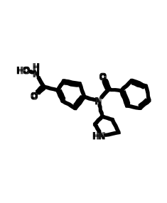 O=C(NO)c1ccc(N(C(=O)c2ccccc2)C2CCNC2)cc1